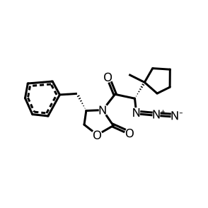 CC1([C@H](N=[N+]=[N-])C(=O)N2C(=O)OC[C@@H]2Cc2ccccc2)CCCC1